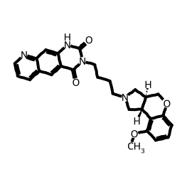 COc1cccc2c1[C@@H]1CN(CCCCn3c(=O)[nH]c4cc5ncccc5cc4c3=O)C[C@H]1CO2